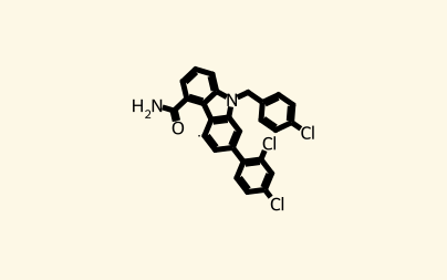 NC(=O)c1cccc2c1c1[c]cc(-c3ccc(Cl)cc3Cl)cc1n2Cc1ccc(Cl)cc1